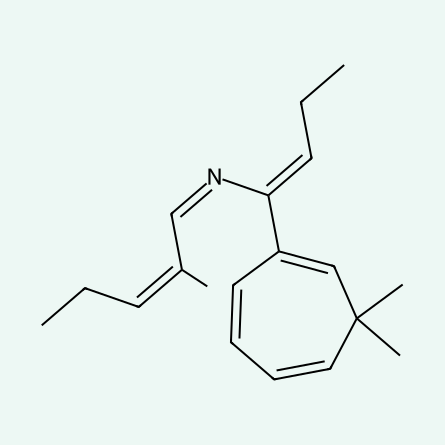 CC\C=C(C)/C=N\C(=C/CC)C1=CC(C)(C)C=CC=C1